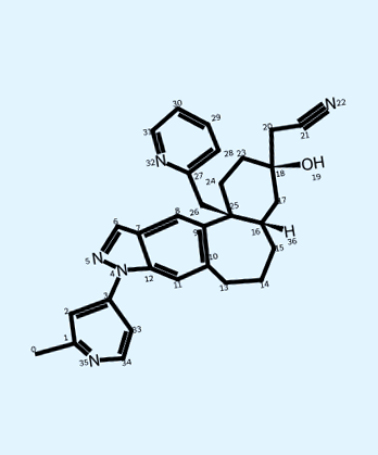 Cc1cc(-n2ncc3cc4c(cc32)CCC[C@H]2C[C@@](O)(CC#N)CC[C@@]42Cc2ccccn2)ccn1